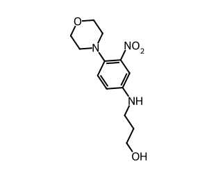 O=[N+]([O-])c1cc(NCCCO)ccc1N1CCOCC1